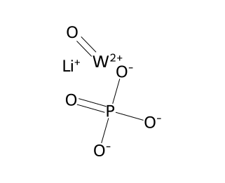 O=P([O-])([O-])[O-].[Li+].[O]=[W+2]